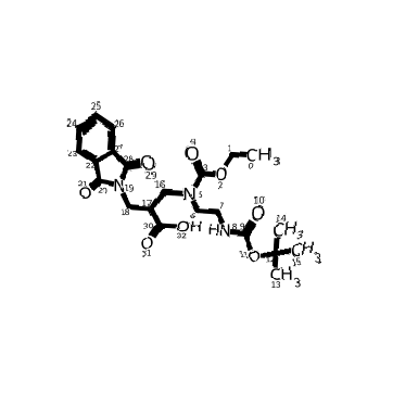 CCOC(=O)N(CCNC(=O)OC(C)(C)C)CC(CN1C(=O)c2ccccc2C1=O)C(=O)O